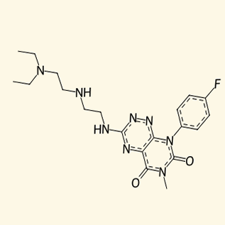 CCN(CC)CCNCCNc1nnc2c(n1)c(=O)n(C)c(=O)n2-c1ccc(F)cc1